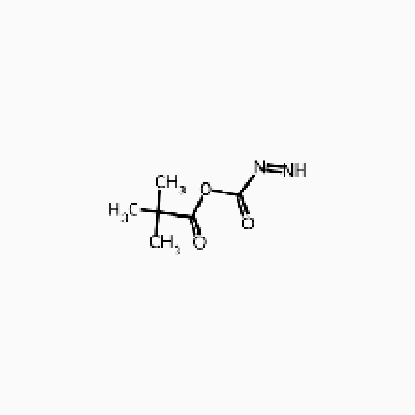 CC(C)(C)C(=O)OC(=O)N=N